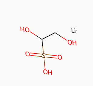 O=S(=O)(O)C(O)CO.[Li]